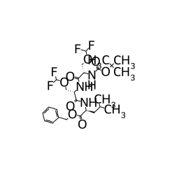 CC(C)C[C@H](NC(=O)[C@H](COC(F)F)NC(=O)[C@H](COC(F)F)NC(=O)OC(C)(C)C)C(=O)OCc1ccccc1